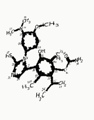 COc1ccc(-n2c(-c3c(C)c(C(C)C)c(OC(N)=O)c(C)c3O)cnc2S)cc1N(C)C